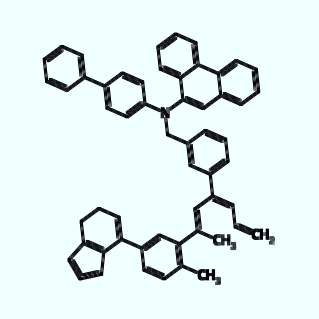 C=C/C=C(\C=C(/C)c1cc(C2=CCCC3=C2C=C=C3)ccc1C)c1cccc(CN(c2ccc(-c3ccccc3)cc2)c2cc3ccccc3c3ccccc23)c1